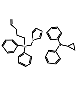 C=CCCC[Si](Cn1ccnc1)(c1ccccc1)c1ccccc1.c1ccc(B(c2ccccc2)C2CC2)cc1